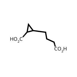 O=C(O)CCCC1CC1C(=O)O